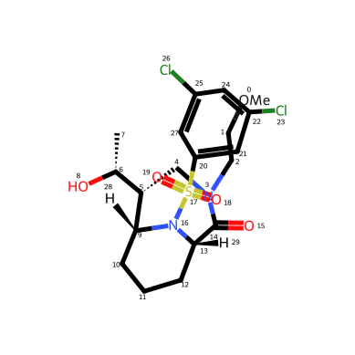 COCCN1C[C@@H]([C@@H](C)O)[C@H]2CCC[C@@H](C1=O)N2S(=O)(=O)c1cc(Cl)cc(Cl)c1